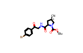 CC(C)(C)OC(=O)N1C[C@H](C#N)CC1C(=O)NCC(=O)c1ccc(Br)cc1